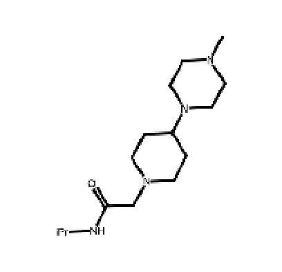 CC(C)NC(=O)CN1CCC(N2CCN(C)CC2)CC1